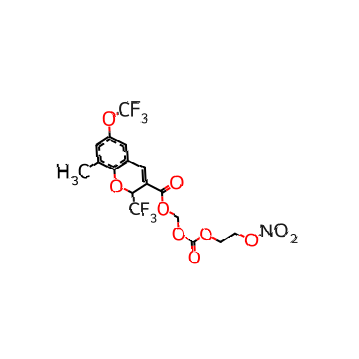 Cc1cc(OC(F)(F)F)cc2c1OC(C(F)(F)F)C(C(=O)OCOC(=O)OCCO[N+](=O)[O-])=C2